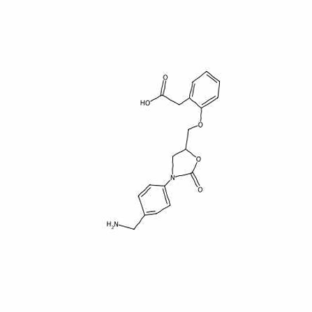 NCc1ccc(N2CC(COc3ccccc3CC(=O)O)OC2=O)cc1